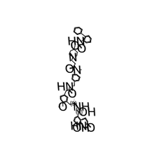 COc1ccc(CC(=O)NCc2ccc(N(C)C(=O)CCN3CCC(OC(=O)Nc4ccccc4-c4ccccc4)CC3)cc2)cc1C[C@H](C)NC[C@H](O)c1ccc(O)c2[nH]c(=O)ccc12